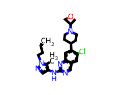 C=CCCn1ncc(Nc2ncc3cc(Cl)c(C4CCN(C5COC5)CC4)cc3n2)c1C